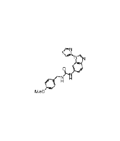 COc1ccc(CNC(=O)Nc2ccc3ncn(-c4cscn4)c3c2)cc1